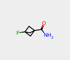 NC(=O)C12CC(F)(C1)C2